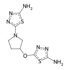 Nc1nnc(OC2CCN(c3nnc(N)s3)C2)s1